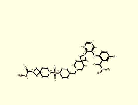 CC(C)N(C(=O)c1cc(F)ccc1Oc1cncnc1N1CC2(CCN(CC3CCN(S(=O)(=O)N4CCC5(CC4)CN(C(=O)OC(C)(C)C)C5)CC3)CC2)C1)C(C)C